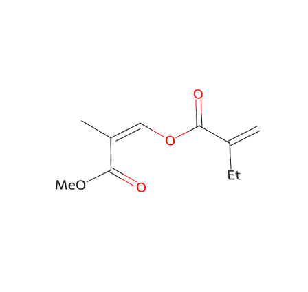 C=C(CC)C(=O)OC=C(C)C(=O)OC